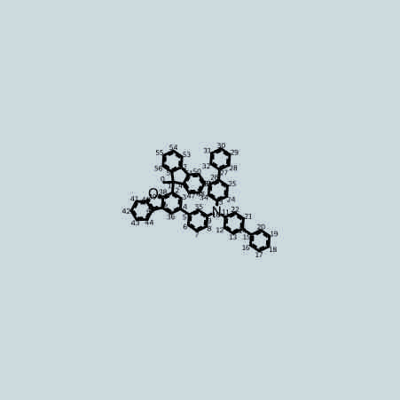 CC1(c2cc(-c3cccc(N(c4ccc(-c5ccccc5)cc4)c4ccc(-c5ccccc5)cc4)c3)cc3c2oc2ccccc23)c2ccccc2-c2ccccc21